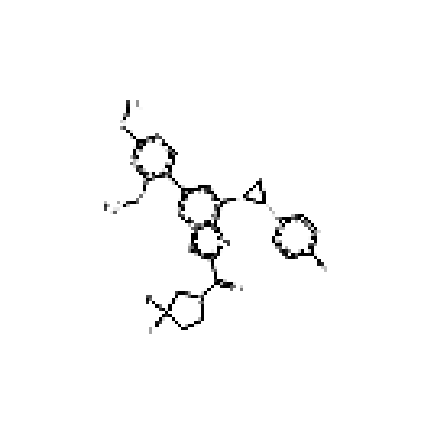 COc1ncc(-c2cc([C@H]3C[C@@H]3c3ccc(F)cc3)c3nc(C(=O)N4CCC(F)(F)C4)cn3n2)c(OC)n1